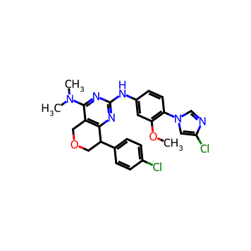 COc1cc(Nc2nc3c(c(N(C)C)n2)COCC3c2ccc(Cl)cc2)ccc1-n1cnc(Cl)c1